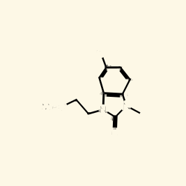 COCCn1c(=O)n(C)c2ccc(Br)cc21